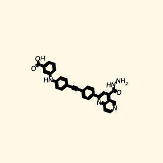 NNC(=O)c1cc(-c2ccc(C#Cc3ccc(Nc4cccc(C(=O)O)c4)cc3)cc2)nc2ccncc12